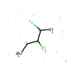 CCC(C)CC(Cl)C(F)CC